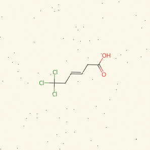 O=C(O)CC=CCC(Cl)(Cl)Cl